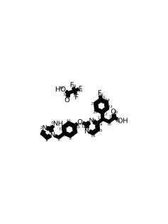 Nc1nccn1Cc1ccc(Oc2nccc(C(CC(=O)O)c3ccc(F)cc3)n2)cc1.O=C(O)C(F)(F)F